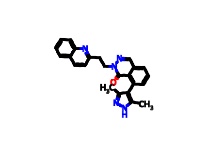 Cc1n[nH]c(C)c1-c1cccc2cnn(CCc3ccc4ccccc4n3)c(=O)c12